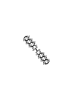 c1cnc2nc3nc4c(nc3nc2n1)SC(=C1Sc2nc3nc5nccnc5nc3nc2S1)S4